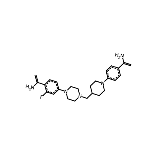 C=C(N)c1ccc(N2CCC(CN3CCN(c4ccc(C(=C)N)c(F)c4)CC3)CC2)cc1